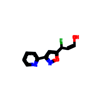 O/C=C\C(F)c1cc(-c2ccccn2)no1